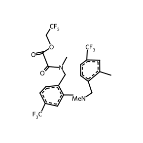 CNCc1ccc(C(F)(F)F)cc1C.Cc1cc(C(F)(F)F)ccc1CN(C)C(=O)C(=O)OCC(F)(F)F